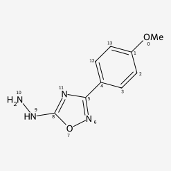 COc1ccc(-c2noc(NN)n2)cc1